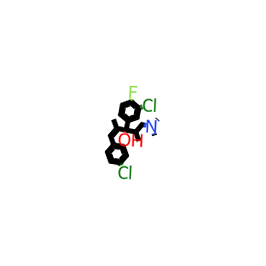 C/C(=C/c1ccc(Cl)cc1)C(O)(c1ccc(F)c(Cl)c1)C(C)CN(C)C